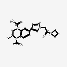 CC(=O)N1c2ccc(-c3cnn(CC(=O)N4CCC4)c3)cc2N(C(=O)O)C[C@@H]1C